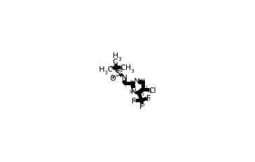 CC(C)(C)[S@@+]([O-])N=Cc1ncc(Cl)c(C(F)(F)F)n1